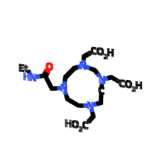 CCNC(=O)CN1CCN(CC(=O)O)CCN(CC(=O)O)CN(CC(=O)O)CC1